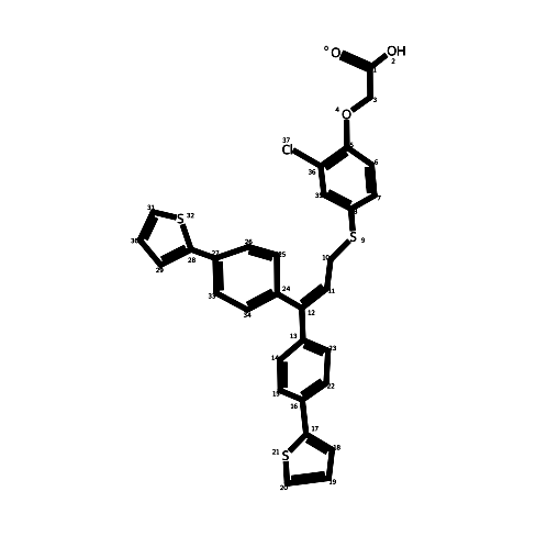 O=C(O)COc1ccc(SCC=C(c2ccc(-c3cccs3)cc2)c2ccc(-c3cccs3)cc2)cc1Cl